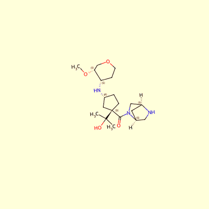 CO[C@@H]1COCC[C@@H]1N[C@@H]1CC[C@@](C(=O)N2C[C@@H]3C[C@H]2CN3)(C(C)(C)O)C1